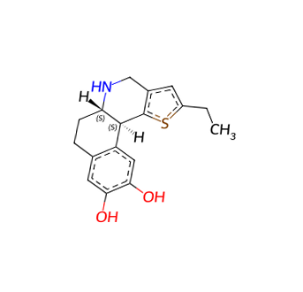 CCc1cc2c(s1)[C@H]1c3cc(O)c(O)cc3CC[C@@H]1NC2